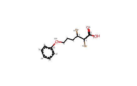 O=C(O)C(Br)C(Br)CCCOc1ccccc1